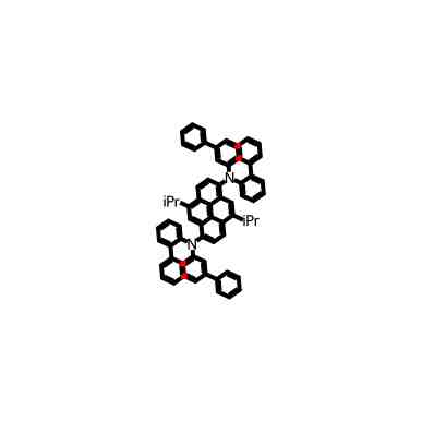 CC(C)c1cc2c(N(c3cccc(-c4ccccc4)c3)c3ccccc3-c3ccccc3)ccc3c(C(C)C)cc4c(N(c5cccc(-c6ccccc6)c5)c5ccccc5-c5ccccc5)ccc1c4c32